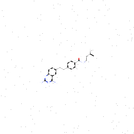 C=C(C[C@H](NC(=O)c1ccc(CCc2ccc3nc(N)nc(N)c3c2)cc1)C(=O)O)C(C)=O